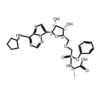 C[C@H](NP(=O)(COC[C@H]1O[C@@H](c2cnc3c(NC4CCCC4)ncnn23)[C@H](O)[C@@H]1O)Oc1ccccc1)C(=O)O